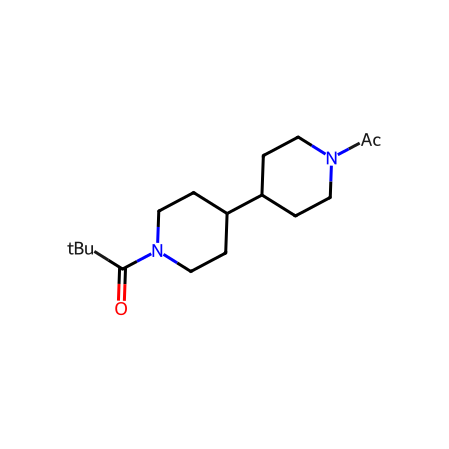 CC(=O)N1CCC(C2CCN(C(=O)C(C)(C)C)CC2)CC1